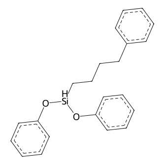 c1ccc(CCCC[SiH](Oc2ccccc2)Oc2ccccc2)cc1